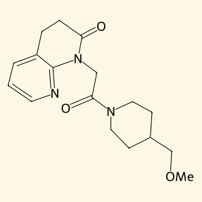 COCC1CCN(C(=O)CN2C(=O)CCc3cccnc32)CC1